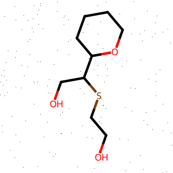 OCCSC(CO)C1CCCCO1